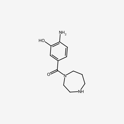 Nc1ccc(C(=O)N2CCCNCC2)cc1O